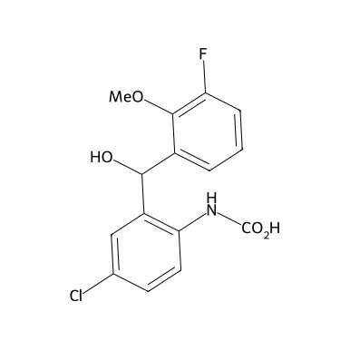 COc1c(F)cccc1C(O)c1cc(Cl)ccc1NC(=O)O